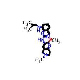 COc1nc2c(cc1Nc1ncc3cccc(NCC(C)C)c3n1)CN(C)CC2